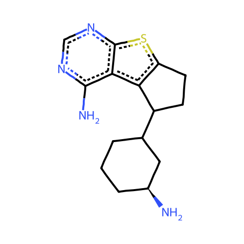 Nc1ncnc2sc3c(c12)C(C1CCC[C@H](N)C1)CC3